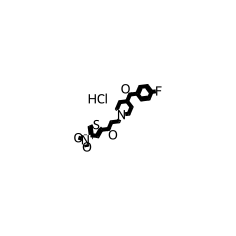 Cl.O=C(CCN1CCC(C(=O)c2ccc(F)cc2)CC1)c1cc([N+](=O)[O-])cs1